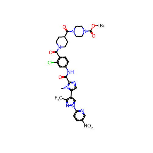 Cn1c(-c2cn(-c3ccc([N+](=O)[O-])cn3)nc2C(F)(F)F)cnc1C(=O)Nc1ccc(C(=O)N2CCC(C(=O)N3CCN(C(=O)OC(C)(C)C)CC3)CC2)c(Cl)c1